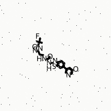 COc1cncc(-c2ccc3nc(NC(=O)NCCc4noc(C(C)(C)CF)n4)sc3c2)c1